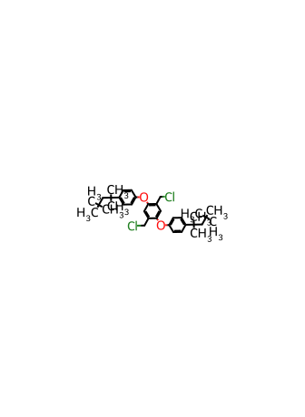 CC(C)(C)CC(C)(C)c1ccc(Oc2cc(CCl)c(Oc3ccc(C(C)(C)CC(C)(C)C)cc3)cc2CCl)cc1